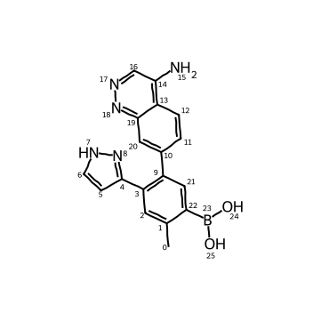 Cc1cc(-c2cc[nH]n2)c(-c2ccc3c(N)cnnc3c2)cc1B(O)O